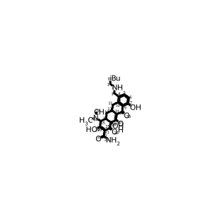 CCC(C)CNCc1ccc(O)c2c1CC1CC3C(N(C)C)C(O)=C(C(N)=O)C(=O)C3(O)C(O)=C1C2=O